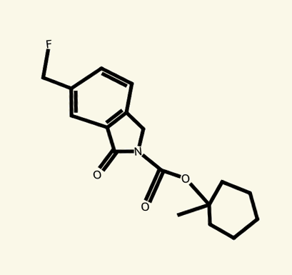 CC1(OC(=O)N2Cc3ccc(CF)cc3C2=O)CCCCC1